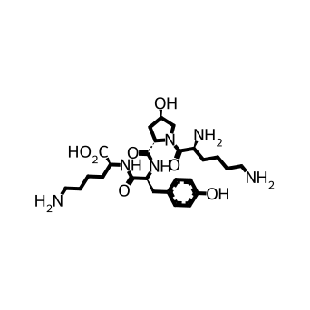 NCCCC[C@H](NC(=O)[C@H](Cc1ccc(O)cc1)NC(=O)[C@@H]1C[C@@H](O)CN1C(=O)[C@@H](N)CCCCN)C(=O)O